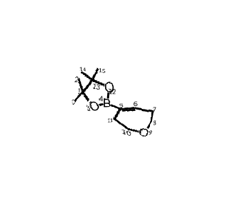 CC1(C)OB(C2=CCCOCC2)OC1(C)C